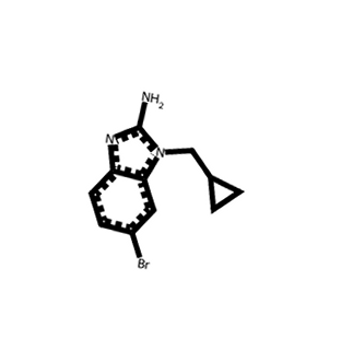 Nc1nc2ccc(Br)cc2n1CC1CC1